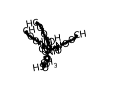 C#CCOCCOCCNC(=O)CCC(CCC(=O)NCCOCCOCC#C)(CCC(=O)NCCOCCOCC#C)NC(=O)[C@H]1CC[C@@H](OP(C)(=O)S)CC1